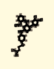 CCN(CC)CCOc1ccc(Nc2ncc(-c3ccc(Cl)c(Cl)c3)c(Nc3ccccc3OC)n2)cc1